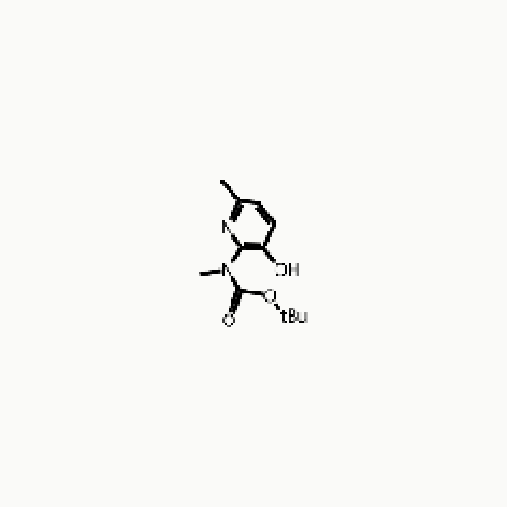 Cc1ccc(O)c(N(C)C(=O)OC(C)(C)C)n1